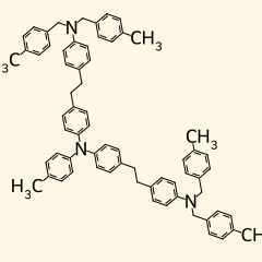 Cc1ccc(CN(Cc2ccc(C)cc2)c2ccc(CCc3ccc(N(c4ccc(C)cc4)c4ccc(CCc5ccc(N(Cc6ccc(C)cc6)Cc6ccc(C)cc6)cc5)cc4)cc3)cc2)cc1